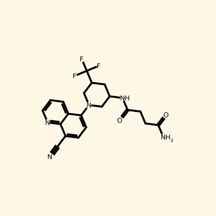 N#Cc1ccc(N2CC(NC(=O)CCC(N)=O)CC(C(F)(F)F)C2)c2cccnc12